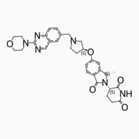 C[C@H]1c2cc(O[C@H]3CCN(Cc4ccc5nc(N6CCOCC6)ncc5c4)C3)ccc2C(=O)N1[C@H]1CCC(=O)NC1=O